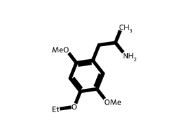 CCOc1cc(OC)c(CC(C)N)cc1OC